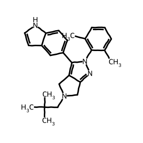 Cc1cccc(C)c1-n1nc2c(c1-c1ccc3[nH]ccc3c1)CN(CC(C)(C)C)C2